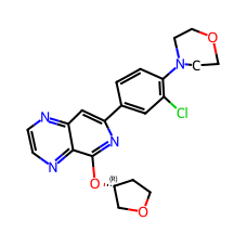 Clc1cc(-c2cc3nccnc3c(O[C@@H]3CCOC3)n2)ccc1N1CCOCC1